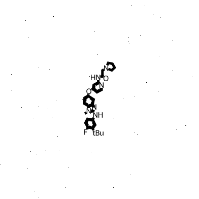 Cn1c(Nc2ccc(F)c(C(C)(C)C)c2)nc2cc(Oc3ccnc(NC(=O)CN4CCCC4)c3)ccc21